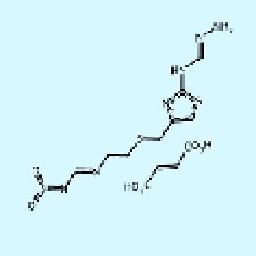 NN=CNc1nc(CSCCN=CN=S(=O)=O)cs1.O=C(O)C=CC(=O)O